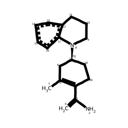 C=C(N)C1=C(C)C[C@@H](N2CCCc3ccccc32)CC1